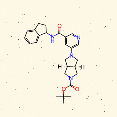 CC(C)(C)OC(=O)N1C[C@@H]2CN(c3cncc(C(=O)NC4CCc5ccccc54)c3)C[C@@H]2C1